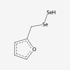 [SeH][Se]Cc1ccco1